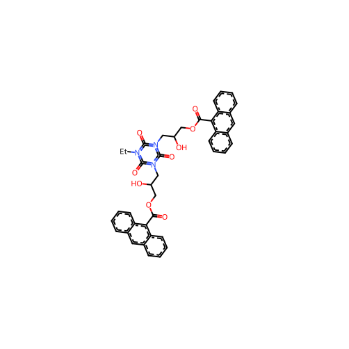 CCn1c(=O)n(CC(O)COC(=O)c2c3ccccc3cc3ccccc23)c(=O)n(CC(O)COC(=O)c2c3ccccc3cc3ccccc23)c1=O